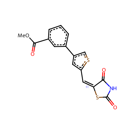 COC(=O)c1cccc(-c2csc(/C=C3/SC(=O)NC3=O)c2)c1